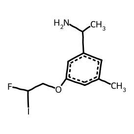 Cc1cc(OCC(F)I)cc(C(C)N)c1